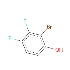 Oc1ccc(F)c(F)c1Br